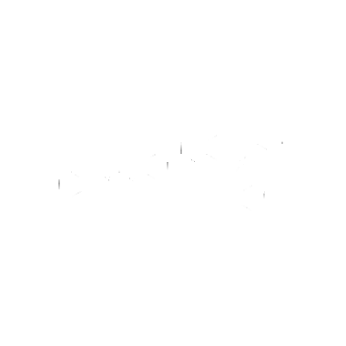 O=C(O)CC(c1ccccc1)S(=O)(=O)c1cccc(NC(=O)c2ccc(NC(=O)NCc3ccccc3)cc2)c1